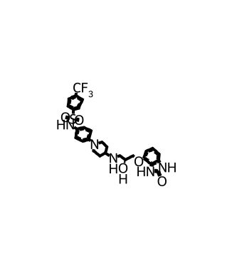 O=c1[nH]c2cccc(OC[C@@H](O)CNC3CCN(c4ccc(NS(=O)(=O)c5ccc(C(F)(F)F)cc5)cc4)CC3)c2[nH]1